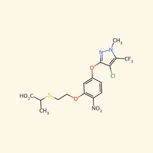 CC(SCCOc1cc(Oc2nn(C)c(C(F)(F)F)c2Cl)ccc1[N+](=O)[O-])C(=O)O